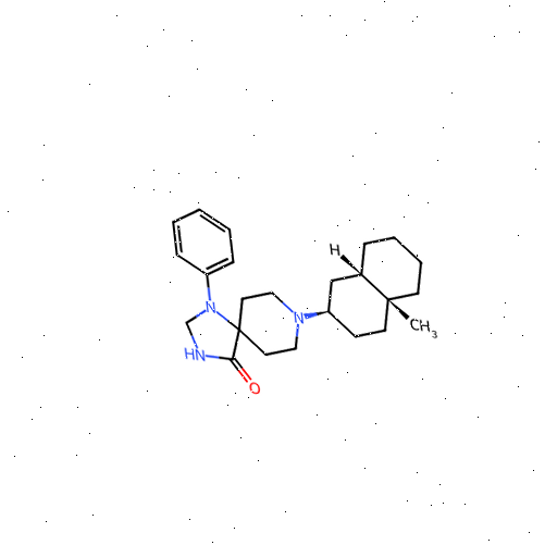 C[C@]12CCCC[C@H]1C[C@H](N1CCC3(CC1)C(=O)NCN3c1ccccc1)CC2